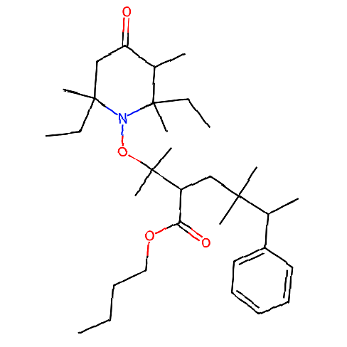 CCCCOC(=O)C(CC(C)(C)C(C)c1ccccc1)C(C)(C)ON1C(C)(CC)CC(=O)C(C)C1(C)CC